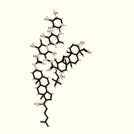 CC(C)CCC[C@@H](N)C1CCC2C3CCC4C[C@@H](OC(=O)N[C@@H](C(CO)OOC(=O)[C@]5(CCC(C)(C)C)C(I)C6=CC7C8(C)CC[C@H](O)C(C)(C=N)C8CCC7(C)C6(C)C[C@@H]5O)C(O)C(C)O[C@@H]5OC(C)[C@H](O[C@@H]6OC[C@@H](O)C(O)C6O)C(O)C5O)CCC4(C)C3CCC21C